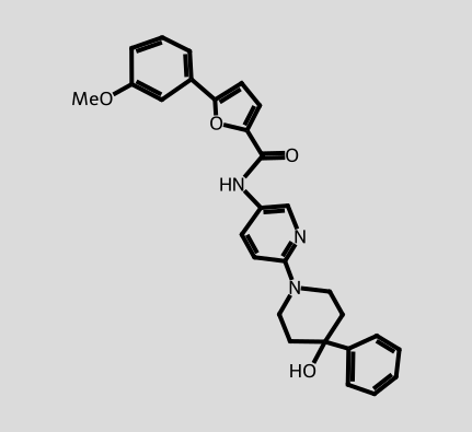 COc1cccc(-c2ccc(C(=O)Nc3ccc(N4CCC(O)(c5ccccc5)CC4)nc3)o2)c1